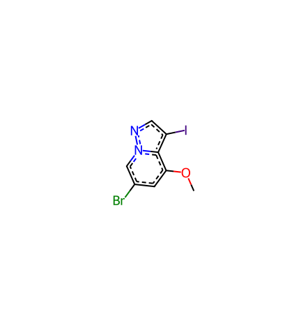 COc1cc(Br)cn2ncc(I)c12